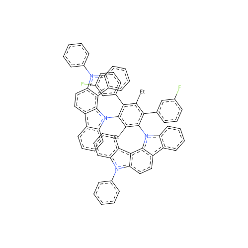 CCc1c(-c2cccc(F)c2)c(-n2c3ccccc3c3ccc4c(c5ccccc5n4-c4ccccc4)c32)c(CC)c(-n2c3ccccc3c3ccc4c(c5ccccc5n4-c4ccccc4)c32)c1-c1cccc(F)c1